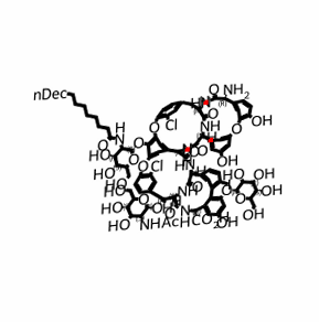 CCCCCCCCCCCCCCCCCC(=O)NC1[C@H](Oc2c3cc4cc2Oc2ccc(cc2Cl)[C@@H](O[C@@H]2OC(CO)[C@@H](O)C(O)[C@@H]2NC(C)=O)[C@@H]2NC(=O)[C@H](NC(=O)[C@@H]4NC(=O)[C@H]4NC(=O)[C@@H](Cc5ccc(c(Cl)c5)O3)NC(=O)[C@H](N)c3ccc(O)c(c3)Oc3cc(O)cc4c3)c3ccc(I)c(c3)-c3c(O[C@H]4OC(CO)[C@@H](O)[C@@H](O)C4O)cc(O)cc3[C@@H](C(=O)O)NC2=O)OC(CO)[C@@H](O)[C@@H]1O